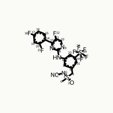 CS(=O)(Cc1cc(Nc2ncc(F)c(-c3ccc(F)cc3F)n2)cc(S(F)(F)(F)(F)F)c1)=NC#N